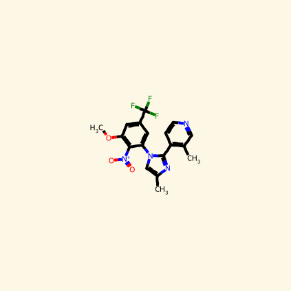 COc1cc(C(F)(F)F)cc(-n2cc(C)nc2-c2ccncc2C)c1[N+](=O)[O-]